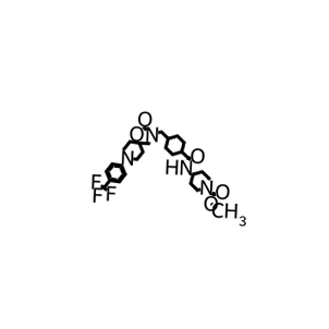 COC(=O)N1CCC(NC(=O)C2CCC(CN3CC4(CCN(c5ccc(C(F)(F)F)cc5)CC4)OC3=O)CC2)CC1